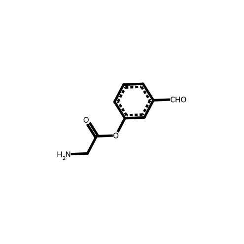 NCC(=O)Oc1cccc(C=O)c1